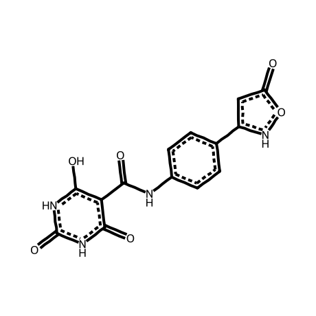 O=C(Nc1ccc(-c2cc(=O)o[nH]2)cc1)c1c(O)[nH]c(=O)[nH]c1=O